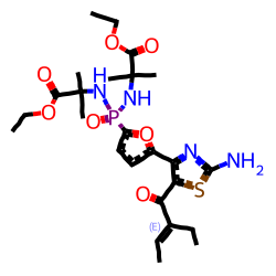 C/C=C(\CC)C(=O)c1sc(N)nc1-c1ccc(P(=O)(NC(C)(C)C(=O)OCC)NC(C)(C)C(=O)OCC)o1